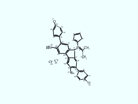 C[C](C)=[Zr+2]([C]1=CC=CC1)[CH]1c2cc(-c3ccc(Cl)cc3)c(C(C)(C)C)cc2-c2cc(C(C)(C)C)c(-c3ccc(Cl)cc3)cc21.[Cl-].[Cl-]